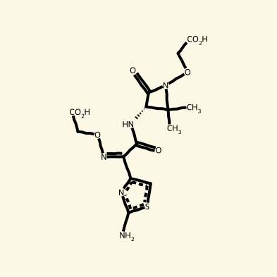 CC1(C)[C@H](NC(=O)C(=NOCC(=O)O)c2csc(N)n2)C(=O)N1OCC(=O)O